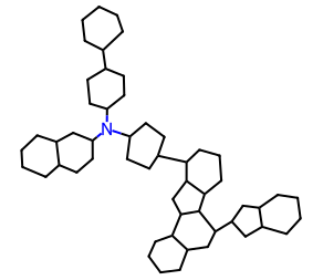 C1CCC(C2CCC(N(C3CCC(C4CCCC5C4CC4C6CCCCC6CC(C6CC7CCCCC7C6)C45)CC3)C3CCC4CCCCC4C3)CC2)CC1